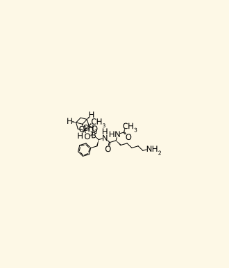 CC(=O)N[C@@H](CCCCCN)C(=O)N[C@@H](Cc1ccccc1)B1O[C@@H]2C[C@@H]3C[C@@H](C3(C)C)[C@]2(C)O1